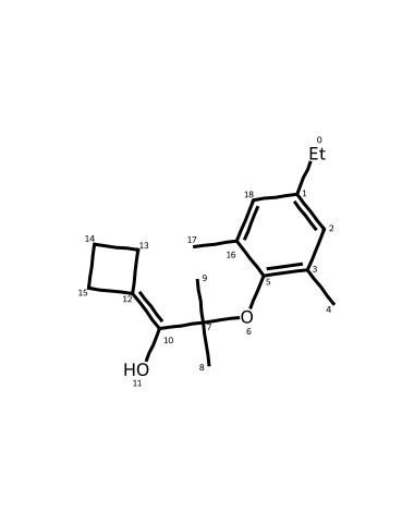 CCc1cc(C)c(OC(C)(C)C(O)=C2CCC2)c(C)c1